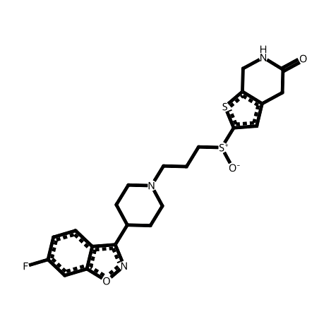 O=C1Cc2cc([S+]([O-])CCCN3CCC(c4noc5cc(F)ccc45)CC3)sc2CN1